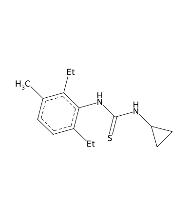 CCc1ccc(C)c(CC)c1NC(=S)NC1CC1